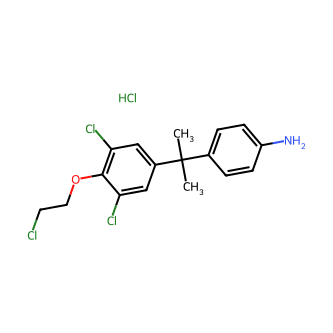 CC(C)(c1ccc(N)cc1)c1cc(Cl)c(OCCCl)c(Cl)c1.Cl